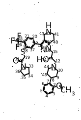 COc1ccccc1C1CCN(CC(O)Cn2nc(-c3ccc(C(F)(F)F)c(SCC(=O)N4CCCC4)c3)c3c2CCNC3)CC1